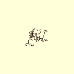 CCCC(=O)O.CCCC(=O)O.CCCC(=O)O.CCCC(=O)O.CCCCCC